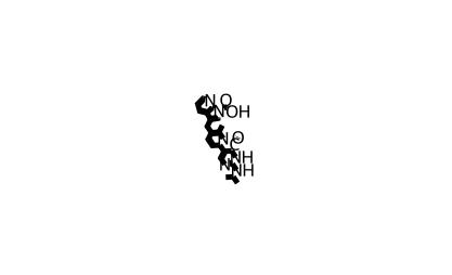 Cc1nc(C2=CN=C(NC(C)C)NC2=C=O)ccc1Cc1cn(C(=O)O)c2ncccc12